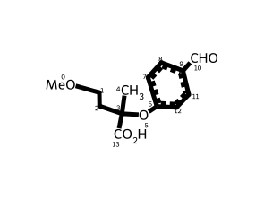 COCCC(C)(Oc1ccc(C=O)cc1)C(=O)O